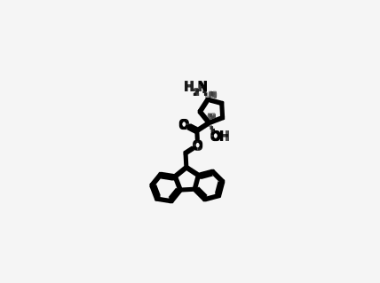 N[C@@H]1CC[C@@](O)(C(=O)OCC2c3ccccc3-c3ccccc32)C1